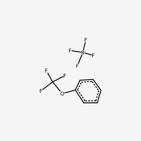 FC(F)(F)Oc1ccccc1.F[B-](F)(F)F